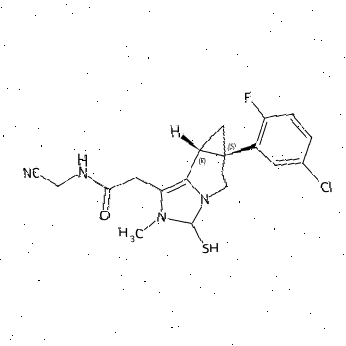 CN1C(CC(=O)NCC#N)=C2[C@@H]3C[C@]3(c3cc(Cl)ccc3F)CN2C1S